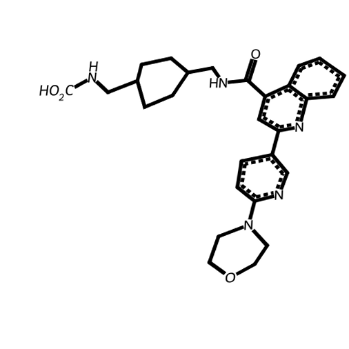 O=C(O)NCC1CCC(CNC(=O)c2cc(-c3ccc(N4CCOCC4)nc3)nc3ccccc23)CC1